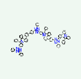 c1ccc(-c2nc(-c3ccc(-c4cccc(-c5cccc6c5c5ccccc5c5c(-c7ccccc7)c7cc(-c8nc(-c9ccccc9)nc(-c9ccccc9)n8)ccc7n65)c4)cc3)nc(-c3ccc4c(c3)c(-c3ccccc3)c3c5ccccc5c5c(-c6ccc(-c7nc(-c8ccccc8)nc(-c8ccc9c%10ccccc%10n%10c%11ccccc%11c(-c%11ccccc%11)c%10c9c8)n7)cc6)cccc5n43)n2)cc1